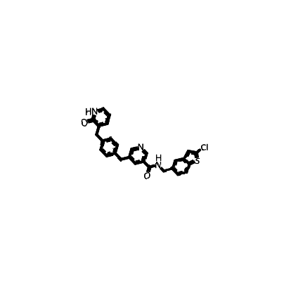 O=C(NCc1ccc2sc(Cl)cc2c1)c1cncc(Cc2ccc(Cc3ccc[nH]c3=O)cc2)c1